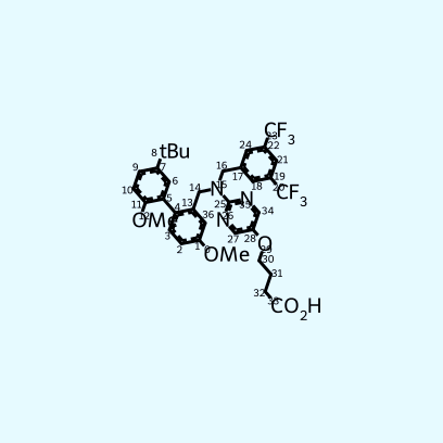 COc1ccc(-c2cc(C(C)(C)C)ccc2OC)c(CN(Cc2cc(C(F)(F)F)cc(C(F)(F)F)c2)c2ncc(OCCCC(=O)O)cn2)c1